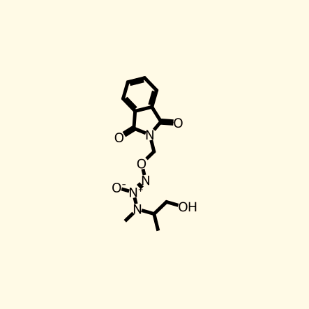 CC(CO)N(C)[N+]([O-])=NOCN1C(=O)c2ccccc2C1=O